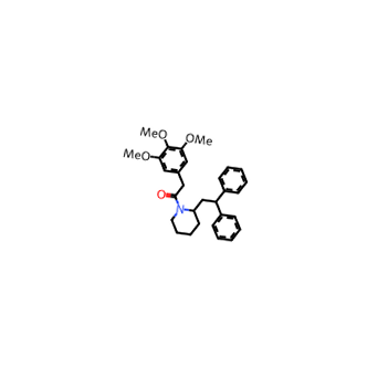 COc1cc(CC(=O)N2CCCCC2CC(c2ccccc2)c2ccccc2)cc(OC)c1OC